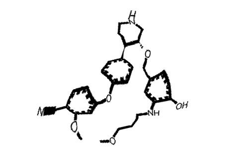 COCCCNc1cc(CO[C@H]2CNCC[C@@H]2c2ccc(Oc3ccc(C#N)c(OC)c3)cc2)ccc1O